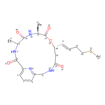 CCC1NC(=O)c2cccc(n2)CNC(=O)C[C@@H](/C=C/CCSC(C)=O)OC(=O)[C@H](C(C)C)NC1=O